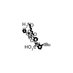 CC(C)(C)Cc1cccc2c1nc(Cn1cccc(NC(=O)C(CC/C=C/C(N)=O)NC(=O)OC3CCOC3)c1=O)n2C(=O)O